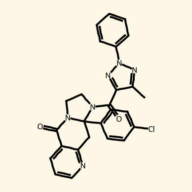 Cc1nn(-c2ccccc2)nc1C(=O)N1CCN2C(=O)c3cccnc3CC21c1ccc(Cl)cc1